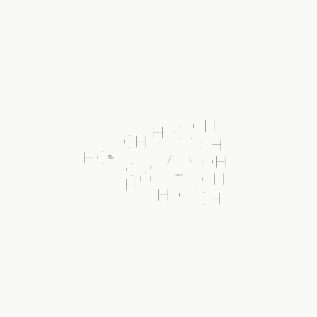 C#CC(C)(C)CC(=O)c1cc(C(C)(C)C)c(O)c(C(C)(C)C)c1